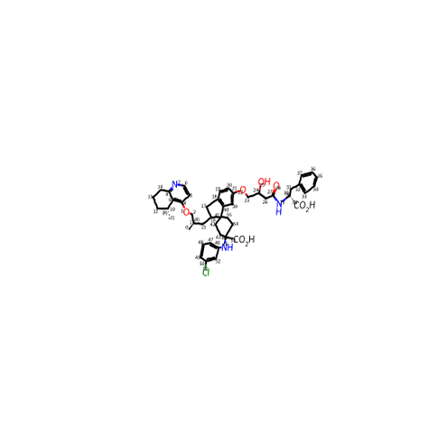 C[C@@H](COc1ccnc2c1[C@H](C)CCC2)CC1Cc2ccc(OCC(O)CC(=O)N[C@H](Cc3ccccc3)C(=O)O)cc2C12CCC(Nc1cccc(Cl)c1)(C(=O)O)CC2